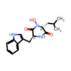 CC(C)C[C@@H]1C(=O)N[C@@H](Cc2c[nH]c3ccccc23)C(=O)N1O